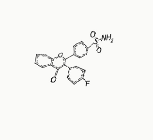 NS(=O)(=O)c1ccc(-c2oc3ccccc3c(=O)c2-c2ccc(F)cc2)cc1